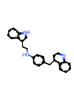 c1ccc2c(Cc3ccc(NCCc4c[nH]c5ccccc45)cc3)ccnc2c1